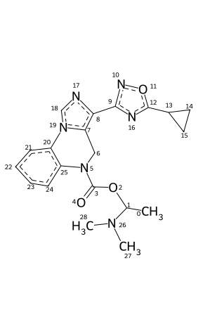 CC(OC(=O)N1Cc2c(-c3noc(C4CC4)n3)ncn2-c2ccccc21)N(C)C